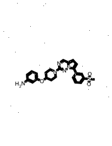 CS(=O)(=O)c1cccc(-c2ccc3cnc(N4CCC(Oc5cccc(N)c5)CC4)nn23)c1